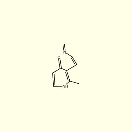 C=N/C=C\c1c(C)[nH]ccc1=O